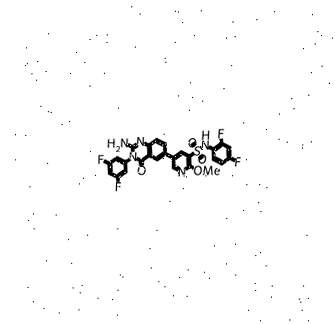 COc1ncc(-c2ccc3nc(N)n(-c4cc(F)cc(F)c4)c(=O)c3c2)cc1S(=O)(=O)Nc1ccc(F)cc1F